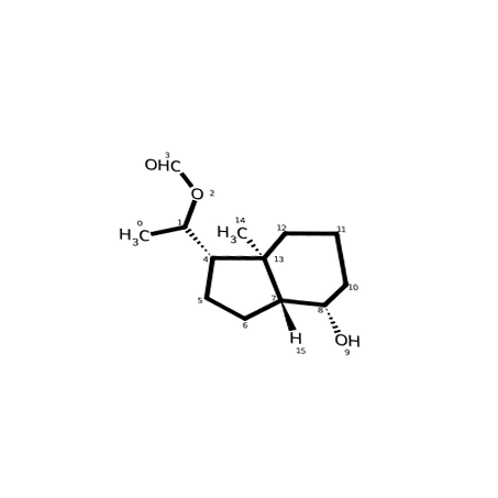 CC(OC=O)[C@H]1CC[C@H]2[C@@H](O)CCC[C@]12C